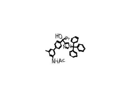 CC(=O)Nc1cc(C)cc(-c2ccc(C(O)(c3cn(C(c4ccccc4)(c4ccccc4)c4ccccc4)cn3)C(C)C)cc2)c1